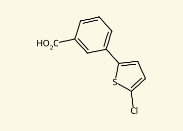 O=C(O)c1cccc(-c2ccc(Cl)s2)c1